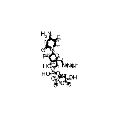 [N-]=[N+]=NC[C@]1(COP(=O)(O)OP(=O)(O)OP(=O)(O)O)O[C@@H](n2cc(F)c(N)nc2=O)[C@H](F)[C@@H]1O